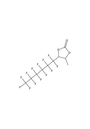 CC1OC(=O)OC1C(F)(F)C(F)(F)C(F)(F)C(F)(F)C(F)(F)C(F)(F)F